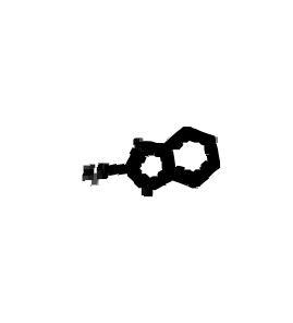 Nc1nc2cc[c]cc2s1